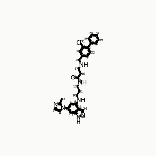 Cc1nccn1-c1cc(NCCCNC(=O)CCNCc2ccc(-c3ccccc3)c(Cl)c2)c2cn[nH]c2c1